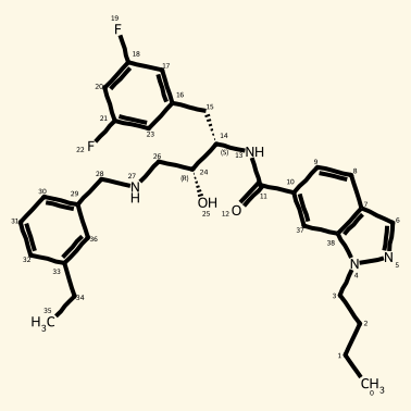 CCCCn1ncc2ccc(C(=O)N[C@@H](Cc3cc(F)cc(F)c3)[C@H](O)CNCc3cccc(CC)c3)cc21